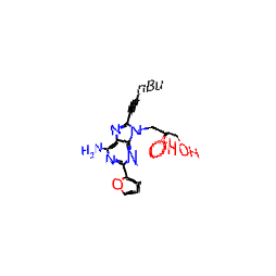 CCCCC#Cc1nc2c(N)nc(-c3ccco3)nc2n1CC(O)CO